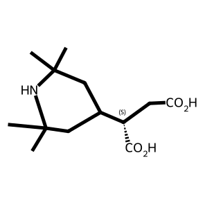 CC1(C)CC([C@H](CC(=O)O)C(=O)O)CC(C)(C)N1